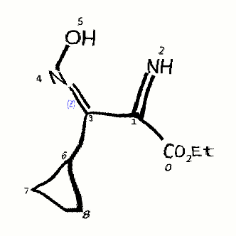 CCOC(=O)C(=N)/C(=N\O)C1CC1